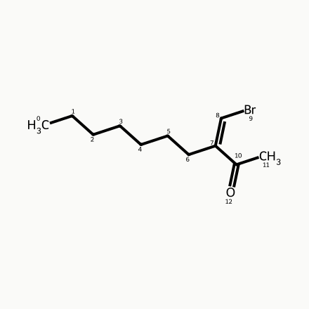 CCCCCCCC(=CBr)C(C)=O